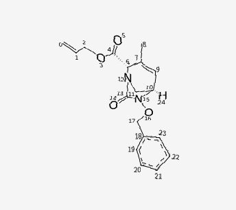 C=CCOC(=O)[C@@H]1C(C)=C[C@@H]2CN1C(=O)N2OCc1ccccc1